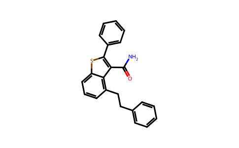 NC(=O)c1c(-c2ccccc2)sc2cccc(CCc3ccccc3)c12